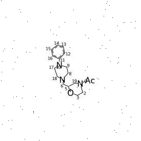 CC(=O)N1CCOC(CN2CCN(c3ccccc3)CC2)C1